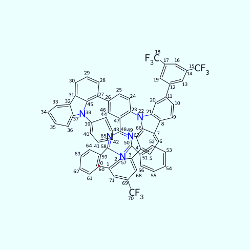 Cc1cc(-c2ccc3c4ccc(-c5cc(C(F)(F)F)cc(C(F)(F)F)c5)cc4n(-c4ccc(-c5cccc6c7ccccc7n(-c7ccccc7)c56)cc4-c4nc(-c5ccccc5)nc(-c5ccccc5)n4)c3c2)cc(C(F)(F)F)c1